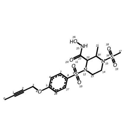 CC#CCOc1ccc(S(=O)(=O)N2CCN(S(C)(=O)=O)C(C)C2C(=O)NO)cc1